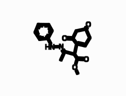 COC(=O)C(C1=CCC(=O)CC1=O)C(C)=NNc1ccccc1